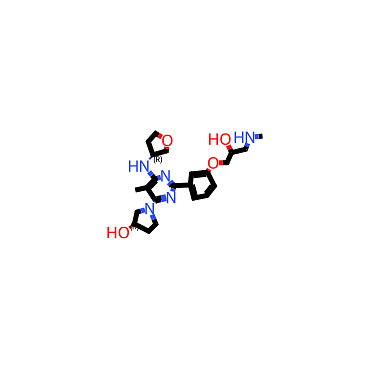 CNCC(O)COc1cccc(-c2nc(N[C@@H]3CCOC3)c(C)c(N3CC[C@@H](O)C3)n2)c1